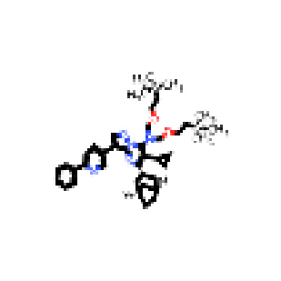 C[Si](C)(C)CCOCN(COCC[Si](C)(C)C)c1c(C2CC2)c([C@H]2C[C@@H]3CC[C@@H](C3)C2)nc2c(-c3ccc(-c4ccccc4)nc3)cnn12